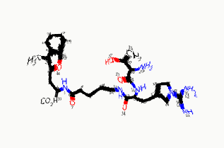 Cc1c(CC(NC(=O)CCCCNC(=O)C(CC2=CCN(C(=N)N)C2)NC(=O)C(N)C(C)O)C(=O)O)oc2ccccc12